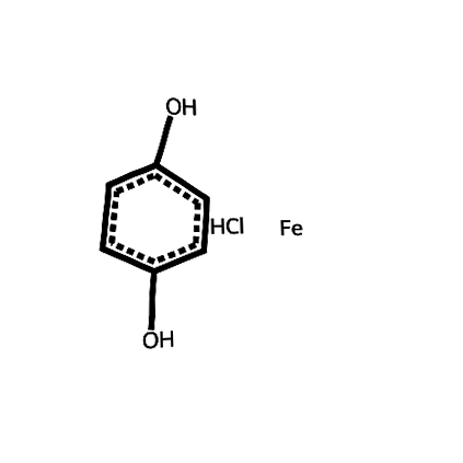 Cl.Oc1ccc(O)cc1.[Fe]